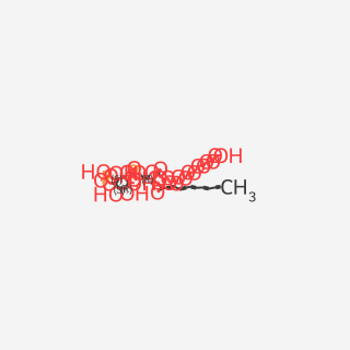 CC#CC#CC#CC#CC#CC(=O)OC[C@H](COP(=O)(O)OC1C(O)[C@H](O)[C@H](O)C(OP(=O)(O)O)[C@@H]1O)OC(=O)OOOOOOOOOOOOOO